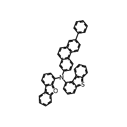 c1ccc(-c2ccc3c(ccc4cc(N(c5cccc6c5oc5ccccc56)c5cccc6sc7ccccc7c56)ccc43)c2)cc1